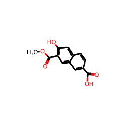 COC(=O)c1cc2cc(C(=O)O)ccc2cc1O